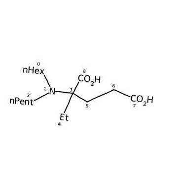 CCCCCCN(CCCCC)C(CC)(CCC(=O)O)C(=O)O